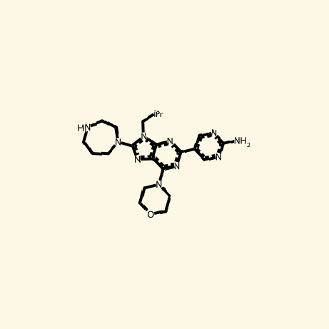 CC(C)Cn1c(N2CCCNCC2)nc2c(N3CCOCC3)nc(-c3cnc(N)nc3)nc21